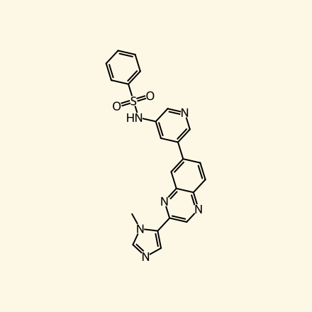 Cn1cncc1-c1cnc2ccc(-c3cncc(NS(=O)(=O)c4ccccc4)c3)cc2n1